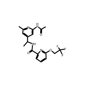 CC(=O)Nc1cc(C(C)NC(=O)c2cccc(OCC(F)(F)F)n2)cc(C)n1